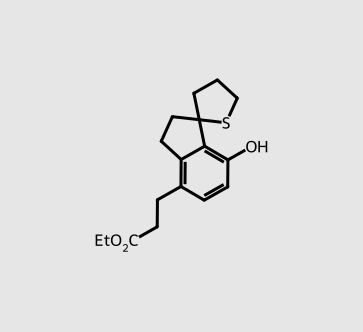 CCOC(=O)CCc1ccc(O)c2c1CCC21CCCS1